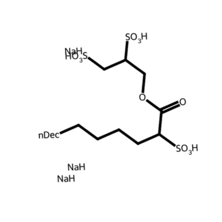 CCCCCCCCCCCCCCC(C(=O)OCC(CS(=O)(=O)O)S(=O)(=O)O)S(=O)(=O)O.[NaH].[NaH].[NaH]